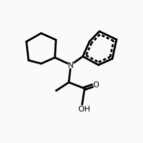 CC(C(=O)O)N(c1ccccc1)C1CCCCC1